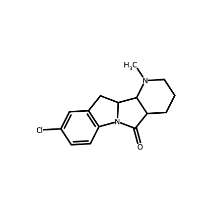 CN1CCCC2C(=O)N3c4ccc(Cl)cc4CC3C21